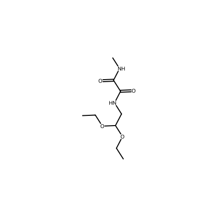 CCOC(CNC(=O)C(=O)NC)OCC